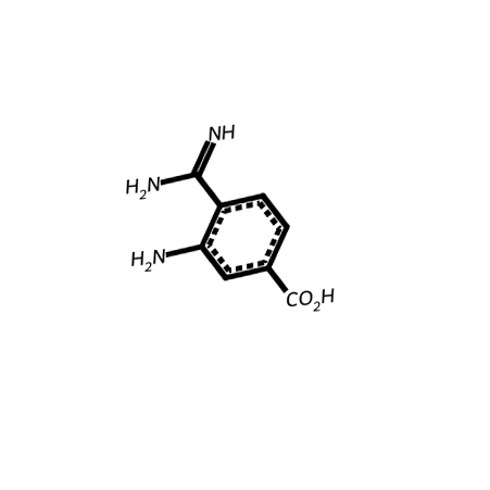 N=C(N)c1ccc(C(=O)O)cc1N